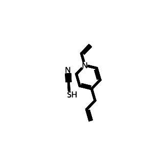 C=CCC1=CCN(C=C)C=C1.N#CS